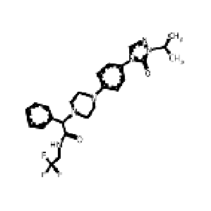 CC(C)n1ncn(-c2ccc(N3CCN(C(C(=O)NCC(F)(F)F)c4ccccc4)CC3)cc2)c1=O